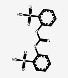 O=C(Oc1ccccc1S(=O)(=O)O)Oc1ccccc1S(=O)(=O)O